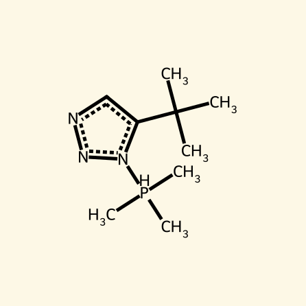 CC(C)(C)c1cnnn1[PH](C)(C)C